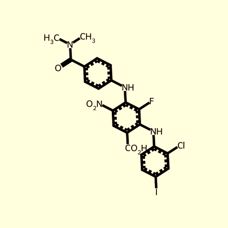 CN(C)C(=O)c1ccc(Nc2c([N+](=O)[O-])cc(C(=O)O)c(Nc3ccc(I)cc3Cl)c2F)cc1